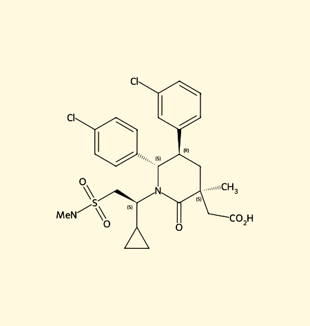 CNS(=O)(=O)C[C@H](C1CC1)N1C(=O)[C@](C)(CC(=O)O)C[C@H](c2cccc(Cl)c2)[C@H]1c1ccc(Cl)cc1